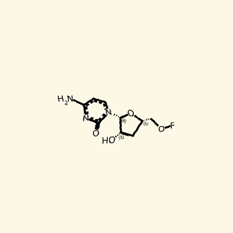 Nc1ccn([C@@H]2O[C@H](COF)C[C@@H]2O)c(=O)n1